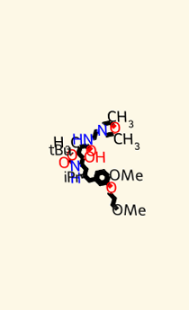 COCCCOc1cc(CC(CC(NC(=O)OC(C)(C)C)C(O)CC(C)C(=O)NCCN2CC(C)OC(C)C2)C(C)C)ccc1OC